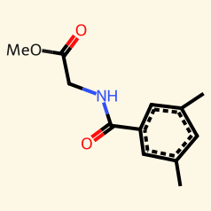 COC(=O)CNC(=O)c1cc(C)cc(C)c1